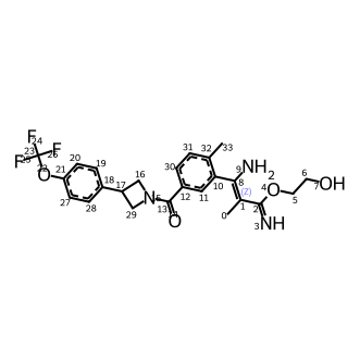 C/C(C(=N)OCCO)=C(/N)c1cc(C(=O)N2CC(c3ccc(OC(F)(F)F)cc3)C2)ccc1C